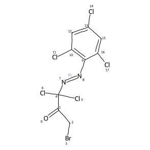 O=C(CBr)C(Cl)(Cl)/N=N/c1c(Cl)cc(Cl)cc1Cl